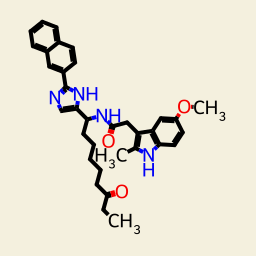 CCC(=O)CCCCCC(NC(=O)Cc1c(C)[nH]c2ccc(OC)cc12)c1cnc(-c2ccc3ccccc3c2)[nH]1